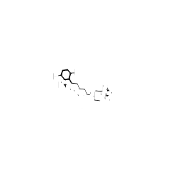 NC(CC(=O)N1CCn2c(nnc2C(F)(F)F)C1)Cc1n[nH]c2c(F)ccc(F)c12